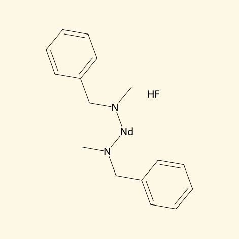 C[N](Cc1ccccc1)[Nd][N](C)Cc1ccccc1.F